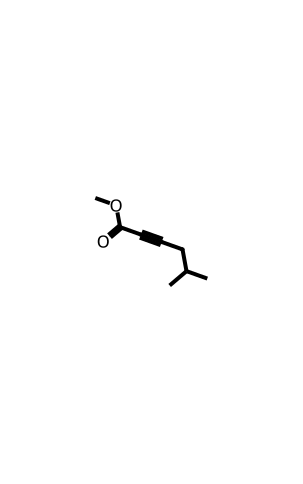 COC(=O)C#CCC(C)C